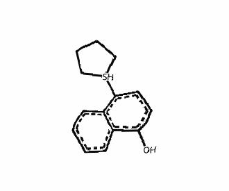 Oc1ccc([SH]2CCCC2)c2ccccc12